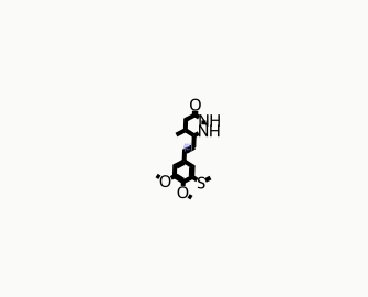 COc1cc(/C=C/C2NNC(=O)CC2C)cc(SC)c1OC